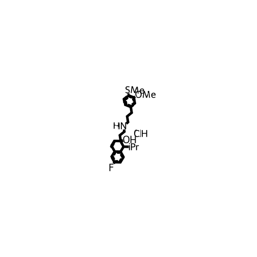 COc1cc(CCCNCCC2(O)CCc3cc(F)ccc3C2C(C)C)ccc1SC.Cl